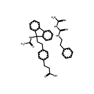 CC(=O)NC1(CCc2ccc(CCC(=O)O)cc2)c2ccccc2-c2ccccc21.N=C(N)NC(=N)NCCc1ccccc1